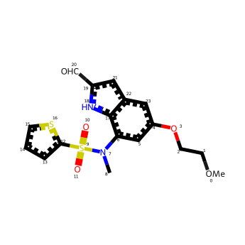 COCCOc1cc(N(C)S(=O)(=O)c2cccs2)c2[nH]c(C=O)cc2c1